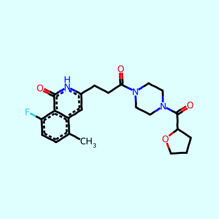 Cc1ccc(F)c2c(=O)[nH]c(CCC(=O)N3CCN(C(=O)C4CCCO4)CC3)cc12